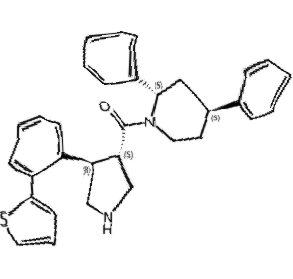 O=C([C@@H]1CNC[C@H]1c1ccccc1-c1cccs1)N1CC[C@H](c2ccccc2)C[C@H]1c1ccccc1